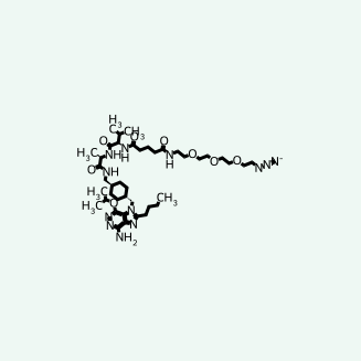 CCCCc1nc2c(N)nnc(OC(C)C)c2n1C[C@H]1CC[C@H](CNC(=O)[C@H](C)NC(=O)[C@@H](NC(=O)CCCC(=O)NCCOCCOCCOCCN=[N+]=[N-])C(C)C)CC1